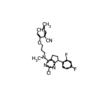 C=C/C=C(C#N)\C(=C/C)OCCCN(C)c1nc(Cl)nc2c1CCC2c1ccc(F)cc1F